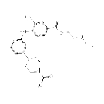 COCCOC(=O)c1ccc(Nc2cccc(C3CCN(C(C)=O)CC3)c2)c(N)c1